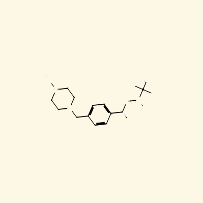 C[C@H](N[S@+]([O-])C(C)(C)C)c1ccc(CN2CCN(C)CC2)cc1